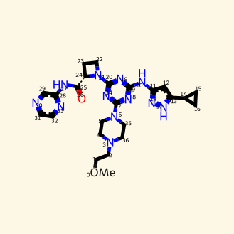 COCCN1CCN(c2nc(Nc3cc(C4CC4)[nH]n3)nc(N3CC[C@H]3C(=O)Nc3cnccn3)n2)CC1